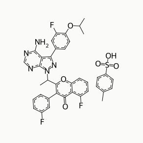 CC(C)Oc1ccc(-c2nn(C(C)c3oc4cccc(F)c4c(=O)c3-c3cccc(F)c3)c3ncnc(N)c23)cc1F.Cc1ccc(S(=O)(=O)O)cc1